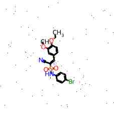 CCOc1ccc(/C=C(\C#N)S(=O)(=O)Nc2ccc(Br)cc2)cc1OC